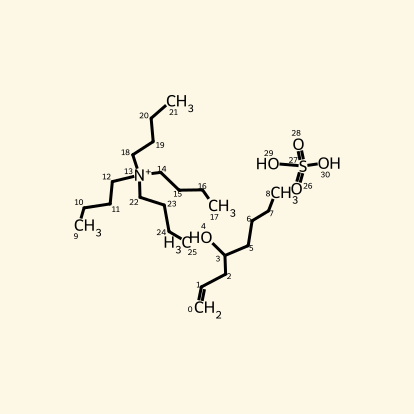 C=CCC(O)CCCC.CCCC[N+](CCCC)(CCCC)CCCC.O=S(=O)(O)O